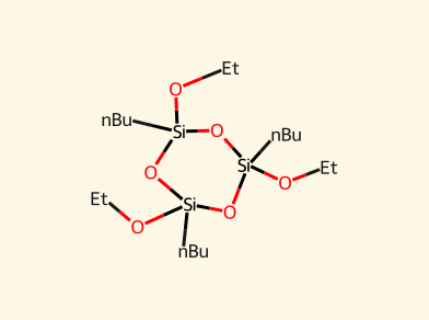 CCCC[Si]1(OCC)O[Si](CCCC)(OCC)O[Si](CCCC)(OCC)O1